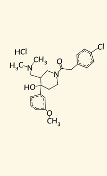 COc1cccc(C2(O)CCN(C(=O)Cc3ccc(Cl)cc3)CC2CN(C)C)c1.Cl